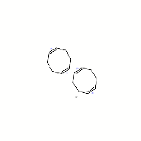 C1=C\CC/C=C\CC/1.C1=C\CC/C=C\CC/1.[Ir]